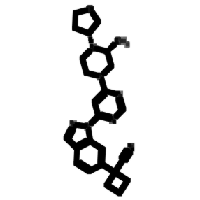 C[C@H]1CN(c2cc(-n3ncc4ccc(C5(C#N)CCC5)cc43)ncn2)CCN1[C@@H]1CCOC1